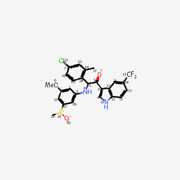 COc1cc(NC(C(=O)c2c[nH]c3ccc(C(F)(F)F)cc23)c2ccc(Cl)cc2C)cc([S+](C)[O-])c1